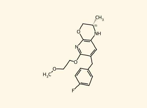 COCCOc1nc2c(cc1Cc1ccc(F)cc1)N[C@@H](C)CO2